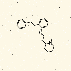 CN1CCCCC1CCOc1ccccc1CCc1ccccc1